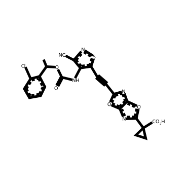 CC(OC(=O)Nc1c(C#N)nsc1C#Cc1nc2oc(C3(C(=O)O)CC3)nc2o1)c1ccccc1Cl